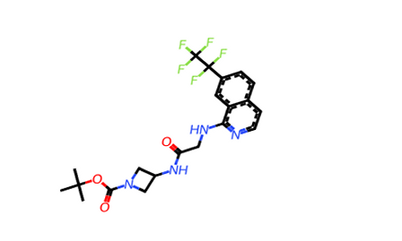 CC(C)(C)OC(=O)N1CC(NC(=O)CNc2nccc3ccc(C(F)(F)C(F)(F)F)cc23)C1